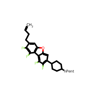 C=CCCc1cc2oc3cc(C4CCC(CCCCC)CC4)c(F)c(F)c3c2c(F)c1F